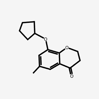 Cc1cc(OC2CCCC2)c2c(c1)C(=O)CCO2